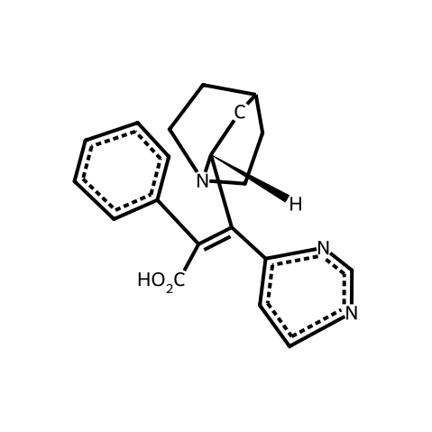 O=C(O)C(=C(c1ccncn1)[C@H]1CC2CCN1CC2)c1ccccc1